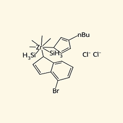 CCCCC1=C[CH]([Zr]([CH3])([CH3])([CH3])([CH3])([SiH3])([SiH3])[CH]2C=Cc3c(Br)cccc32)C=C1.[Cl-].[Cl-]